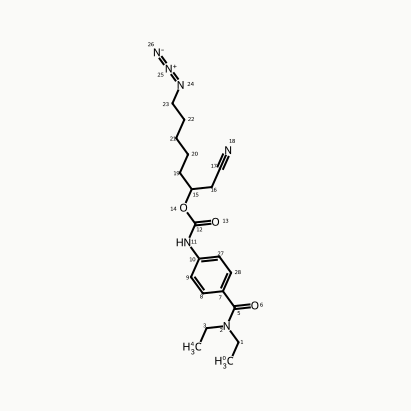 CCN(CC)C(=O)c1ccc(NC(=O)OC(CC#N)CCCCCN=[N+]=[N-])cc1